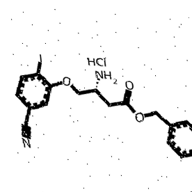 Cl.N#Cc1ccc(I)c(OC[C@H](N)CC(=O)OCc2ccccc2)c1